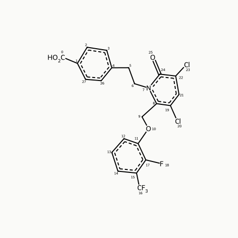 O=C(O)c1ccc(CCn2c(COc3cccc(C(F)(F)F)c3F)c(Cl)cc(Cl)c2=O)cc1